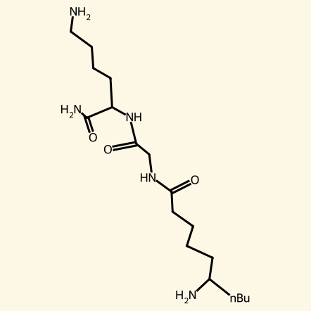 CCCCC(N)CCCCC(=O)NCC(=O)NC(CCCCN)C(N)=O